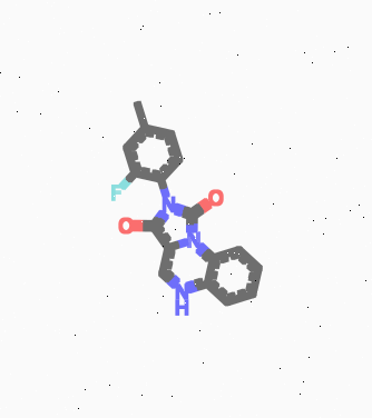 Cc1ccc(-n2c(=O)c3c[nH]c4ccccc4n-3c2=O)c(F)c1